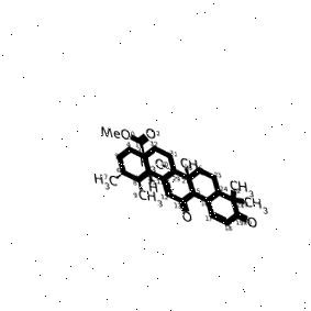 COC(=O)[C@]12CC[C@@H](C)[C@H](C)[C@H]1C1=CC(=O)C3C4C=CC(=O)C(C)(C)C4CC[C@@]3(C)[C@]1(C)CC2